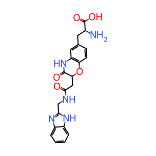 N[C@@H](Cc1ccc2c(c1)NC(=O)C(CC(=O)NCc1nc3ccccc3[nH]1)O2)C(=O)O